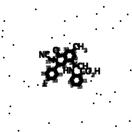 Cc1cc(C(C)Nc2ccccc2C(=O)O)c2cc(-c3ccc(F)cc3)n(CC#N)c(=O)c2c1